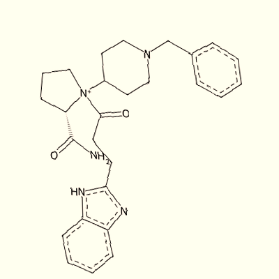 NC(=O)[C@@H]1CCC[N+]1(C(=O)CCc1nc2ccccc2[nH]1)C1CCN(Cc2ccccc2)CC1